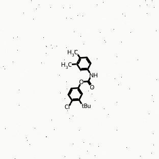 Cc1ccc(NC(=O)Oc2ccc(Cl)c(C(C)(C)C)c2)cc1C